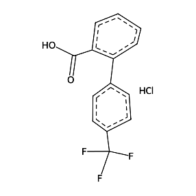 Cl.O=C(O)c1ccccc1-c1ccc(C(F)(F)F)cc1